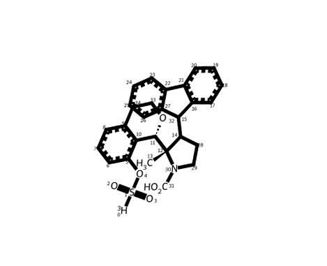 [3H]S(=O)(=O)Oc1cccc2c1[C@@H]([C@]1(C)C(C3c4ccccc4-c4ccccc43)CCN1C(=O)O)OCC2